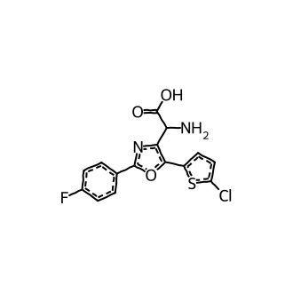 NC(C(=O)O)c1nc(-c2ccc(F)cc2)oc1-c1ccc(Cl)s1